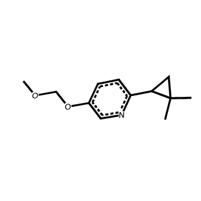 COCOc1ccc(C2CC2(C)C)nc1